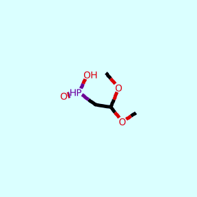 COC(C[PH](=O)O)OC